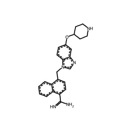 N=C(N)c1ccc(Cn2cnc3cc(OC4CCNCC4)ccc32)c2ccccc12